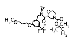 COCCCOc1cc(CN(C(=O)[C@H]2CN(C(=O)OC(C)(C)C)CCO2)C2CC2)cc(C(F)(F)F)c1